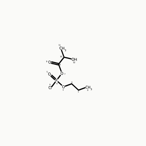 CCCOP(=O)(Cl)OC(=O)C(C)O